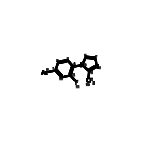 CC(=O)c1ccc(-n2ccnc2C(F)(F)F)c(F)c1